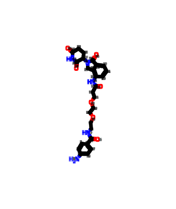 Nc1ccc(C(=O)NCCOCCOCCC(=O)Nc2cccc3c2CN(C2CCC(=O)NC2=O)C3=O)cc1